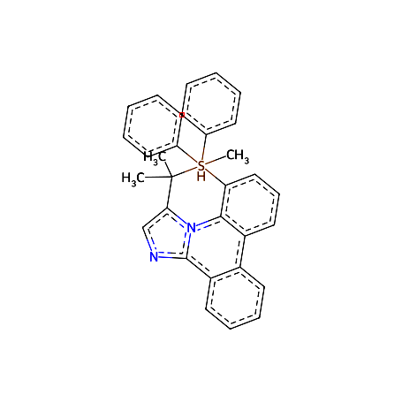 CC1(C)c2cnc3c4ccccc4c4cccc(c4n23)[SH]1(C)(c1ccccc1)c1ccccc1